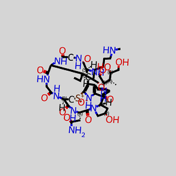 CC[C@@H]1C(CCCCNC)COc2ccc3c4c([nH]c3c2)[S+]([O-])C[C@@H]2NC(=O)CNC(=O)C1NC(=O)CNC(=O)[C@H](C4)NC(=O)[C@H]([C@@H](C)[C@@H](O)CO)NC(=O)[C@@H]1C[C@@H](O)CN1C(=O)[C@H](CC(N)=O)NC2=O